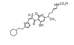 CC(=Cc1ccc(CCC2CCCCC2)s1)C(=O)c1c(O)cc(C(C)CCC=CNC(=O)O)oc1=O